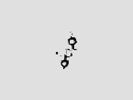 COC[C@]1(c2ccccc2)CCN(C(C)c2ccc(Br)cc2)C(=O)O1